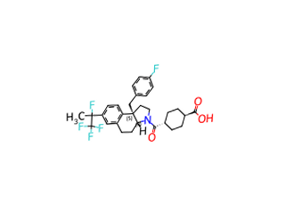 CC(F)(c1ccc2c(c1)CC[C@H]1N(C(=O)[C@H]3CC[C@H](C(=O)O)CC3)CC[C@@]21Cc1ccc(F)cc1)C(F)(F)F